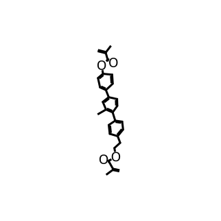 C=C(C)C(=O)OCCc1ccc(-c2ccc(-c3ccc(OC(=O)C(=C)C)cc3)cc2C)cc1